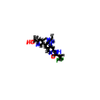 CCC(O)c1cc(C)c(-c2cc3cnc(NC(=O)C4CC4(F)F)cc3n3nc(C)nc23)cn1